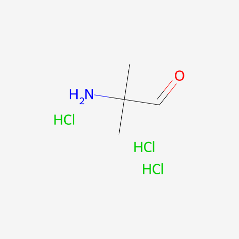 CC(C)(N)C=O.Cl.Cl.Cl